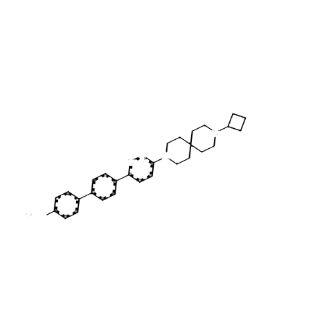 COc1ccc(-c2ccc(-c3ccc(N4CCC5(CC4)CCN(C4CCC4)CC5)nn3)cc2)cc1